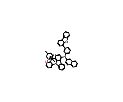 CC1C[C@H]2CC(C)C[C@H](C1)C21c2ccccc2-n2c3ccccc3c3c(N(c4cccc(-c5cccc6c5sc5ccccc56)c4)c4ccc5ccccc5c4)ccc1c32